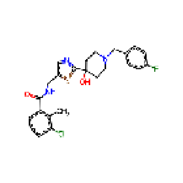 Cc1c(Cl)cccc1C(=O)NCc1cnc(C2(O)CCN(Cc3ccc(F)cc3)CC2)s1